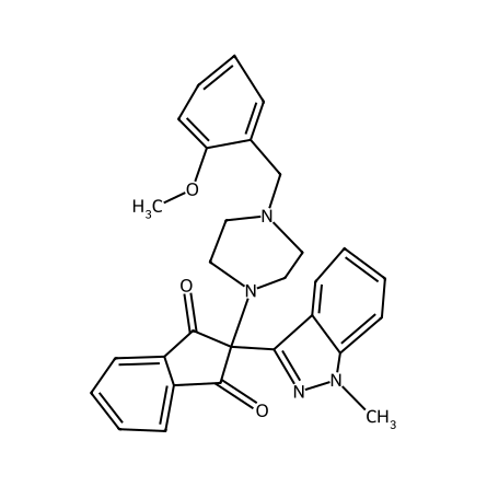 COc1ccccc1CN1CCN(C2(c3nn(C)c4ccccc34)C(=O)c3ccccc3C2=O)CC1